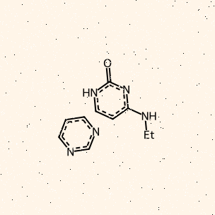 CCNc1cc[nH]c(=O)n1.c1cncnc1